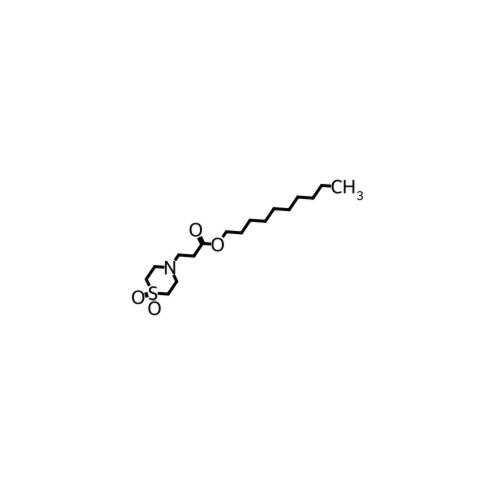 CCCCCCCCCCOC(=O)CCN1CCS(=O)(=O)CC1